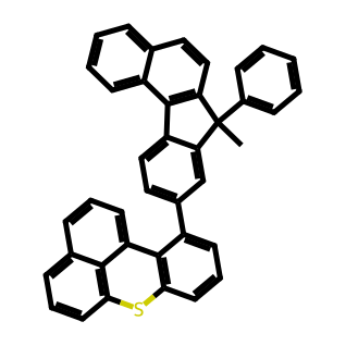 CC1(c2ccccc2)c2cc(-c3cccc4c3-c3cccc5cccc(c35)S4)ccc2-c2c1ccc1ccccc21